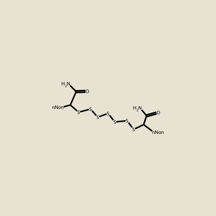 CCCCCCCCCC(SSSSSSSC(CCCCCCCCC)C(N)=O)C(N)=O